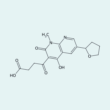 Cn1c(=O)c(C(=O)CCC(=O)O)c(O)c2cc(C3CCCO3)cnc21